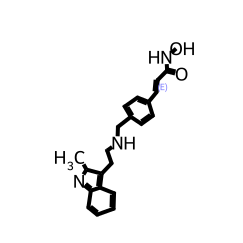 CC1N=c2ccccc2=C1CCNCc1ccc(/C=C/C(=O)NO)cc1